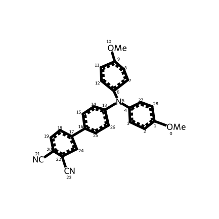 COc1ccc(N(c2ccc(OC)cc2)c2ccc(-c3ccc(C#N)c(C#N)c3)cc2)cc1